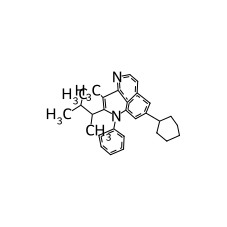 CC1=C(C(C)C(C)C)N(c2ccccc2)c2cc(C3CCCCC3)cc3ccnc1c23